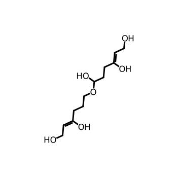 OCC=C(O)CCCOC(O)CCC(O)=CCO